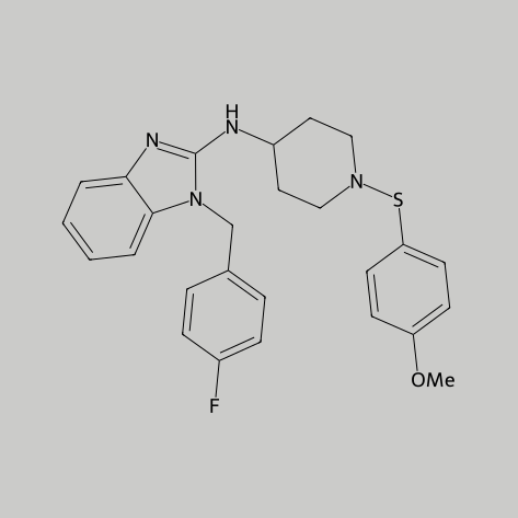 COc1ccc(SN2CCC(Nc3nc4ccccc4n3Cc3ccc(F)cc3)CC2)cc1